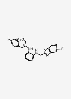 COC[C@H](Cc1ccc(C)cc1)Nc1ccccc1NCc1nc2cc(F)ccc2s1